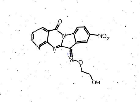 O=c1c2cccnc2nc2n1-c1ccc([N+](=O)[O-])cc1/C2=N\OCCO